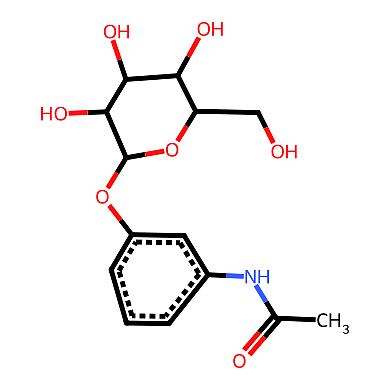 CC(=O)Nc1cccc(OC2OC(CO)C(O)C(O)C2O)c1